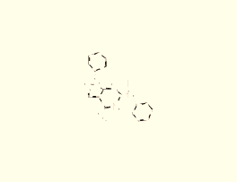 CCNc1nc(Nc2ccccc2)nc2c1cnn2-c1ccccc1